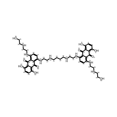 O=C1c2c(O)ccc(O)c2C(=O)c2c(NCCNCCCCNCCNc3ccc(NCCNCCO)c4c3C(=O)c3c(O)ccc(O)c3C4=O)ccc(NCCNCCO)c21